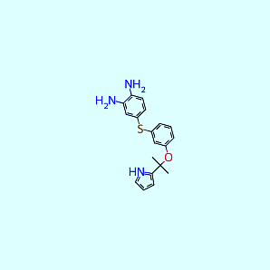 CC(C)(Oc1cccc(Sc2ccc(N)c(N)c2)c1)c1ccc[nH]1